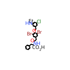 CCNc1cc(Cl)cc(COc2c(Br)cc(CC(=O)NC(Cc3ccccc3)C(=O)O)cc2Br)c1